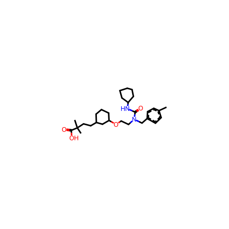 Cc1ccc(CN(CCOC2CCCC(CCC(C)(C)C(=O)O)C2)C(=O)NC2CCCCC2)cc1